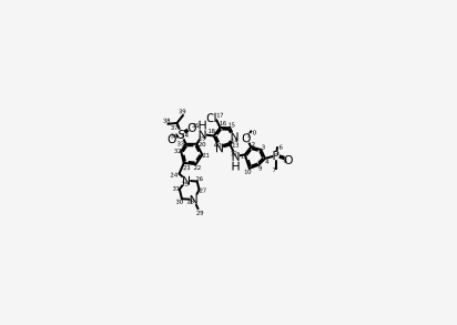 COc1cc(P(C)(C)=O)ccc1Nc1ncc(Cl)c(Nc2ccc(CN3CCN(C)CC3)cc2S(=O)(=O)C(C)C)n1